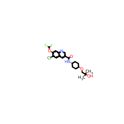 CC(C)(O)CO[C@H]1CC[C@H](NC(=O)c2cnc3cc(OC(F)F)c(Cl)cc3c2)CC1